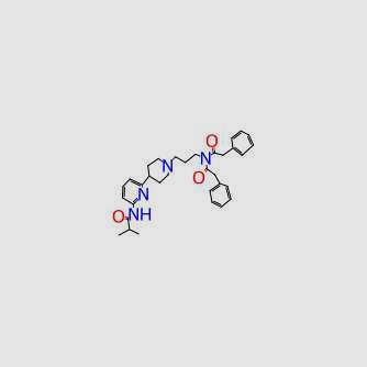 CC(C)C(=O)Nc1cccc(C2CCN(CCCN(C(=O)Cc3ccccc3)C(=O)Cc3ccccc3)CC2)n1